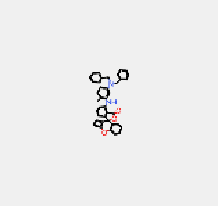 Cc1ccc(N(Cc2ccccc2)Cc2ccccc2)cc1Nc1cccc2c1C(=O)OC21c2ccccc2Oc2ccccc21